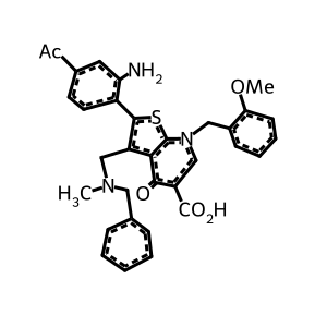 COc1ccccc1Cn1cc(C(=O)O)c(=O)c2c(CN(C)Cc3ccccc3)c(-c3ccc(C(C)=O)cc3N)sc21